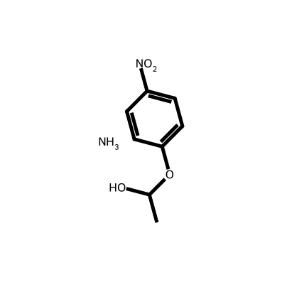 CC(O)Oc1ccc([N+](=O)[O-])cc1.N